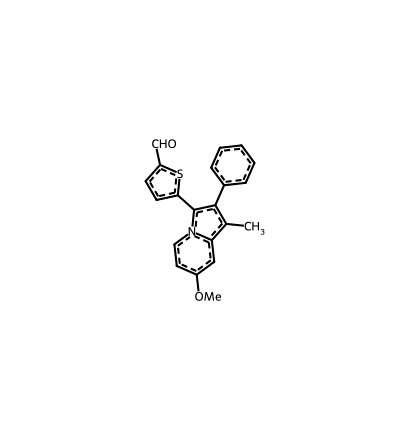 COc1ccn2c(-c3ccc(C=O)s3)c(-c3ccccc3)c(C)c2c1